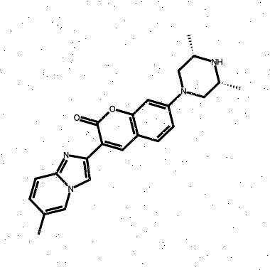 Cc1ccc2nc(-c3cc4ccc(N5C[C@@H](C)N[C@@H](C)C5)cc4oc3=O)cn2c1